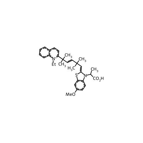 CC[n+]1c(C(C)(C)C=CC(C)(C)/C=C2\Sc3cc(OC)ccc3N2C(C)C(=O)O)ccc2ccccc21